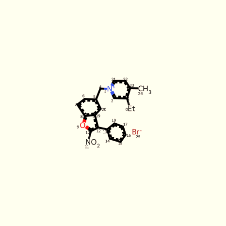 CCc1c[n+](Cc2ccc3oc([N+](=O)[O-])c(-c4ccccc4)c3c2)ccc1C.[Br-]